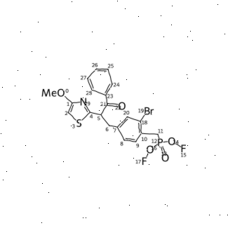 COc1csc(C(Cc2ccc(CP(=O)(OF)OF)c(Br)c2)C(=O)c2ccccc2)n1